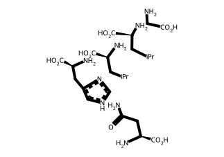 CC(C)C[C@H](N)C(=O)O.CC(C)C[C@H](N)C(=O)O.NC(=O)C[C@H](N)C(=O)O.NCC(=O)O.N[C@@H](Cc1c[nH]cn1)C(=O)O